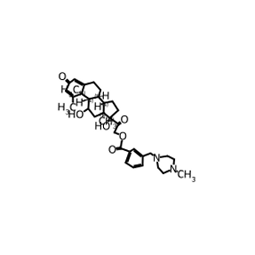 CC1=CC(=O)C=C2CC[C@@H]3[C@H](C(O)C[C@@]4(C)[C@H]3CC[C@]4(O)C(=O)COC(=O)c3cccc(CN4CCN(C)CC4)c3)[C@@]12C